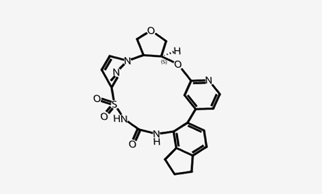 O=C1Nc2c(ccc3c2CCC3)-c2ccnc(c2)O[C@@H]2COCC2n2ccc(n2)S(=O)(=O)N1